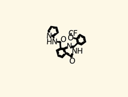 O=C(Nc1ccccn1)c1cccc2c(=O)[nH]c(-c3ccccc3OC(F)(F)F)nc12